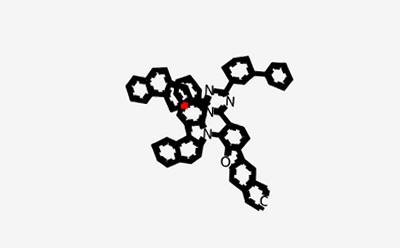 c1ccc(-c2cccc(-c3nc(-c4ccc5c(ccc6ccccc65)c4)nc(-c4ccc5c(oc6cc7ccccc7cc65)c4-n4c5cc6ccccc6cc5c5c6ccccc6ccc54)n3)c2)cc1